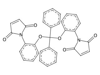 O=C1C=CC(=O)N1c1ccccc1OC(Oc1ccccc1N1C(=O)C=CC1=O)(c1ccccc1)c1ccccc1